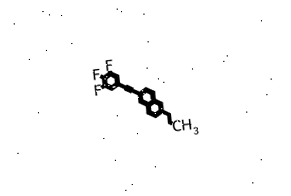 CCCc1ccc2cc(C#Cc3cc(F)c(F)c(F)c3)ccc2c1